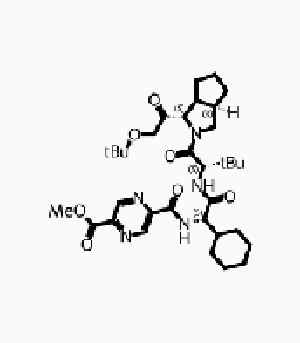 COC(=O)c1cnc(C(=O)N[C@H](C(=O)N[C@H](C(=O)N2C[C@@H]3CCCC3[C@H]2C(=O)COC(C)(C)C)C(C)(C)C)C2CCCCC2)cn1